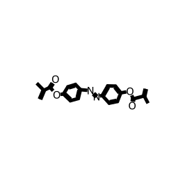 C=C(C)C(=O)Oc1ccc(N=Nc2ccc(OC(=O)C(=C)C)cc2)cc1